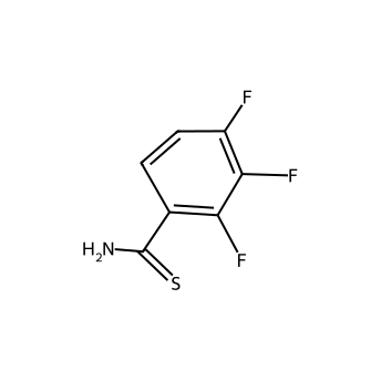 NC(=S)c1ccc(F)c(F)c1F